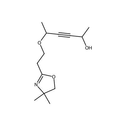 CC(O)C#CC(C)OCCC1=NC(C)(C)CO1